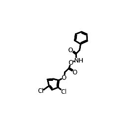 O=C(Cc1ccccc1)NOC(=O)COc1ccc(Cl)cc1Cl